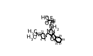 CN(C)[C@@H]1CCN(c2nc(N)nc3c2oc2ccccc23)C1.O=C(O)C(F)(F)F